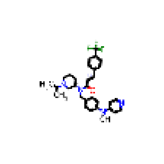 CC(C)N1CCC[C@H](N(Cc2ccc(N(C)c3ccncc3)cc2)C(=O)/C=C/c2ccc(C(F)(F)F)cc2)C1